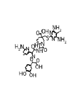 Cc1c(N)nc(SCC2(C(=O)O)CS[C@@H]3C(NC(=O)C(=NO[C@@H](C(=O)O)c4ccc(O)c(O)c4)c4csc(N)n4)C(=O)N3C2)nc1N